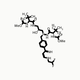 COC(=O)NC(C(=O)NC[C@@H](O)CN(Cc1ccc(C(=N)/C=C\NCC(F)F)cc1)NC(=O)[C@@H](NC(=O)OC)C(C)(C)C(F)(F)F)C(C)(C)C(F)(F)F